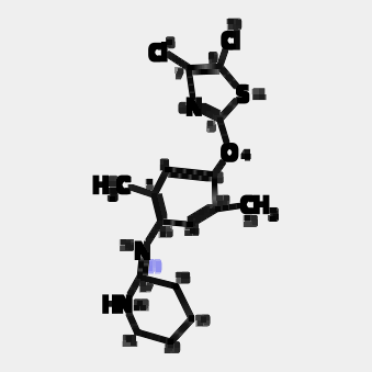 Cc1cc(Oc2nc(Cl)c(Cl)s2)c(C)cc1/N=C1\CCCCN1